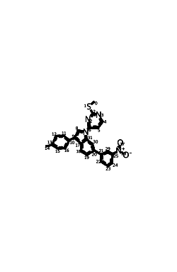 CSc1nccc(-n2cc(-c3ccc(C)cc3)c3ccc(-c4cccc([N+](=O)[O-])c4)cc32)n1